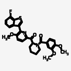 COc1ccc(C(=O)N2CCCCC2C(=O)c2ccc(OC)c(-c3csc4c(F)cccc34)n2)cc1OC